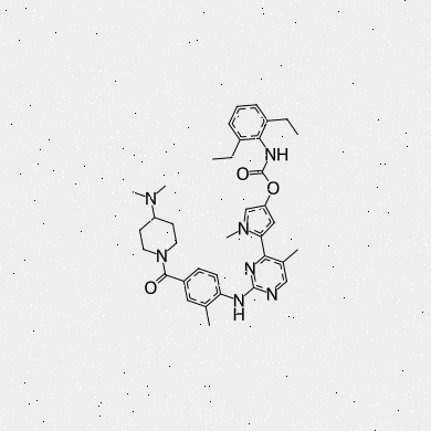 CCc1cccc(CC)c1NC(=O)Oc1cc(-c2nc(Nc3ccc(C(=O)N4CCC(N(C)C)CC4)cc3C)ncc2C)n(C)c1